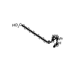 CCCN(CCCNC(=O)OC1CCC1)C(=O)C1=Cc2sc(CC3CCN(CCOCCOCCOCCOCCOCCOCCOCCOCCOCCOCCC(=O)O)CC3)cc2N=C(N)C1